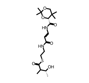 CC(C(=O)SCCNC(=O)C=CNC(=O)[C@@H]1OC(C)(C)OCC1(C)C)[C@@H](C)O